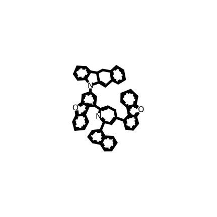 C1=C(c2cccc3oc4ccccc4c23)CC=C(c2cc(N3C4=Cc5ccccc5CC4c4ccccc43)cc3oc4ccccc4c23)N=C1c1cccc2ccccc12